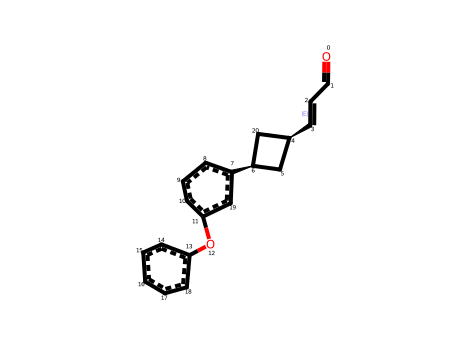 O=C/C=C/[C@H]1C[C@@H](c2cccc(Oc3ccccc3)c2)C1